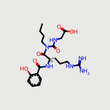 CCCCN(C(=O)NCC(=O)O)C(=O)[C@H](CCCNC(=N)N)NC(=O)c1ccccc1O